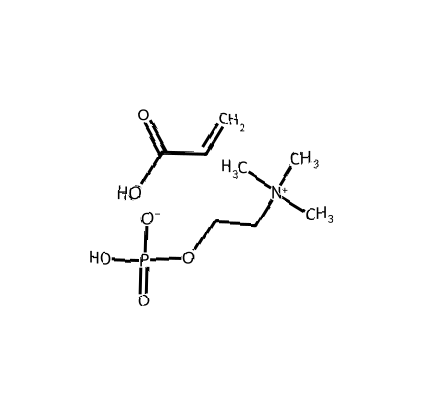 C=CC(=O)O.C[N+](C)(C)CCOP(=O)([O-])O